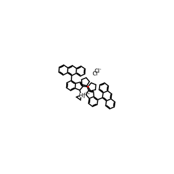 C1=C(C2CCCC2)[CH]([Hf+2]2([CH]3C(C4CCCC4)=Cc4c(-c5c6ccccc6cc6ccccc56)cccc43)[CH2][CH2]2)c2cccc(-c3c4ccccc4cc4ccccc34)c21.[Cl-].[Cl-]